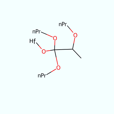 CCCOC(C)C([O][Hf])(OCCC)OCCC